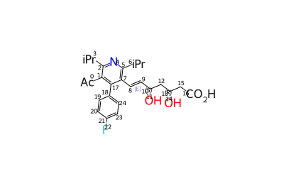 CC(=O)c1c(C(C)C)nc(C(C)C)c(/C=C/[C@@H](O)C[C@@H](O)CC(=O)O)c1-c1ccc(F)cc1